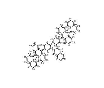 c1cc(-c2cc3ccccc3cc2-c2cccc(-c3c4ccccc4c(-c4cccc5ccccc45)c4ccccc34)c2)cc(-c2c3ccccc3c(-c3cccc4ccccc34)c3ccccc23)c1